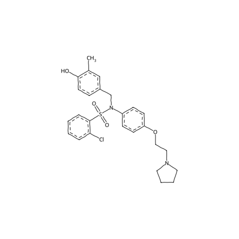 Cc1cc(CN(c2ccc(OCCN3CCCC3)cc2)S(=O)(=O)c2ccccc2Cl)ccc1O